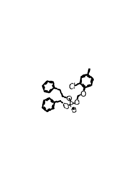 Cc1ccc(OCOP(=O)(OCCc2ccccc2)OCc2ccccc2)c(Cl)c1